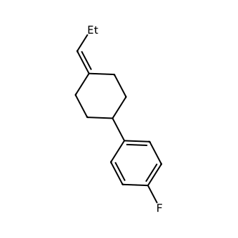 CCC=C1CCC(c2ccc(F)cc2)CC1